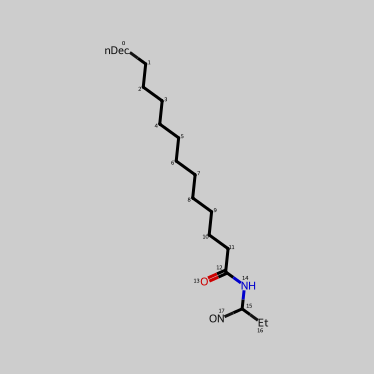 CCCCCCCCCCCCCCCCCCCCCC(=O)NC(CC)N=O